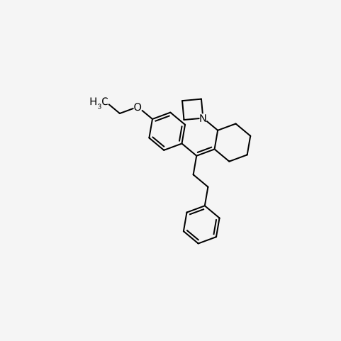 CCOc1ccc(C(CCc2ccccc2)=C2CCCCC2N2CCC2)cc1